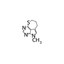 Cn1cc2c3c(ncnc31)SCCC2